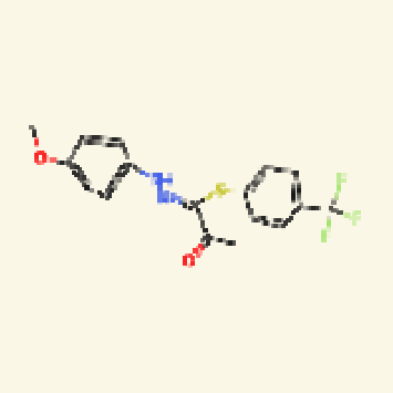 COc1ccc(NN=C(Sc2ccc(C(F)(F)F)cc2)C(C)=O)cc1